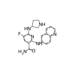 NC(=O)c1cc(F)c(NC2CCNC2)nc1Nc1ccc2ncccc2c1